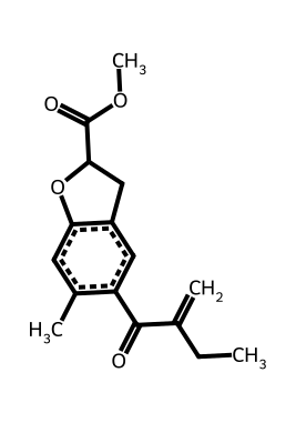 C=C(CC)C(=O)c1cc2c(cc1C)OC(C(=O)OC)C2